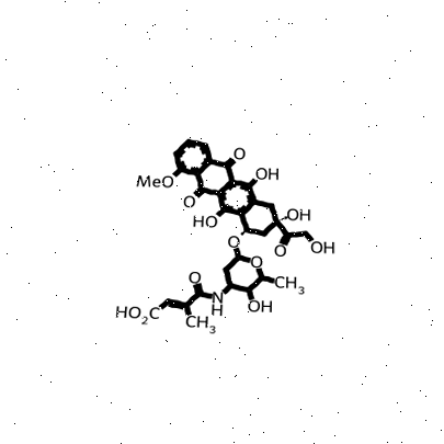 COc1cccc2c1C(=O)c1c(O)c3c(c(O)c1C2=O)C[C@@](O)(C(=O)CO)C[C@@H]3OC1CC(NC(=O)/C(C)=C/C(=O)O)C(O)C(C)O1